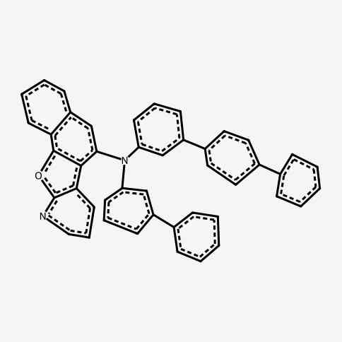 c1ccc(-c2ccc(-c3cccc(N(c4cccc(-c5ccccc5)c4)c4cc5ccccc5c5oc6ncccc6c45)c3)cc2)cc1